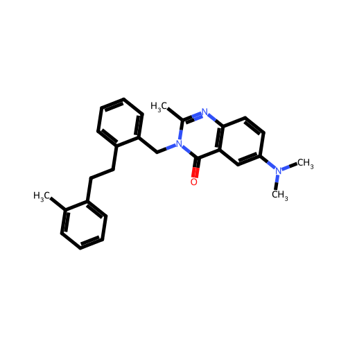 Cc1ccccc1CCc1ccccc1Cn1c(C)nc2ccc(N(C)C)cc2c1=O